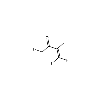 CC(C(=O)CF)=C(F)F